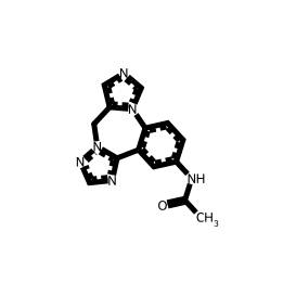 CC(=O)Nc1ccc2c(c1)-c1ncnn1Cc1cncn1-2